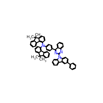 CC1(C)c2ccccc2-c2c(N(c3ccc(-c4nc(-n5c6ccccc6c6cc(-c7ccccc7)ccc65)nc5ccccc45)cc3)c3cccc4c3-c3ccccc3C4(C)C)cccc21